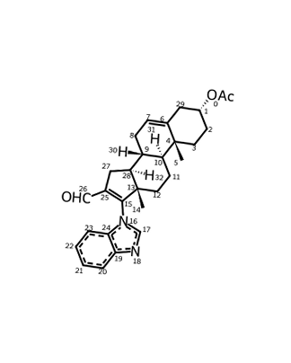 CC(=O)O[C@@H]1CC[C@@]2(C)C(=CC[C@@H]3[C@@H]2CC[C@]2(C)C(n4cnc5ccccc54)=C(C=O)C[C@@H]32)C1